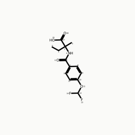 CCC(C)(NC(=O)c1ccc(OC(F)F)cc1)C(=O)O